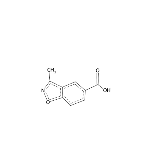 Cc1noc2ccc(C(=O)O)cc12